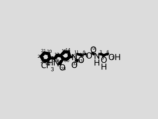 O=C(NCC(O)CO)OC[C@@H]1CN(c2ccc3cc(-c4ccccc4C(F)(F)F)[nH]c(=O)c3c2)C(=O)O1